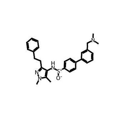 Cc1c(N[S+]([O-])c2ccc(-c3cccc(CN(C)C)c3)cc2)c(CCc2ccccc2)nn1C